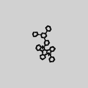 c1ccc(-c2cc(-c3ccccc3)cc(-c3cccc(-n4c5ccccc5c5c6ccccc6c6c(c7ccccc7n6-c6ccccc6)c54)c3)c2)cc1